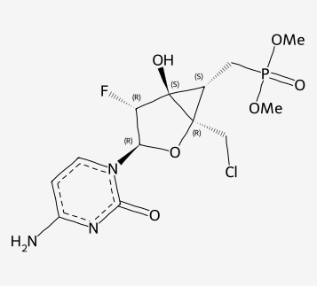 COP(=O)(C[C@H]1[C@@]2(O)[C@@H](F)[C@H](n3ccc(N)nc3=O)O[C@]12CCl)OC